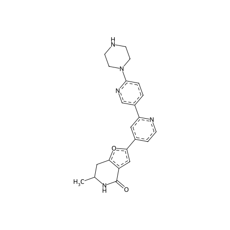 CC1Cc2oc(-c3ccnc(-c4ccc(N5CCNCC5)nc4)c3)cc2C(=O)N1